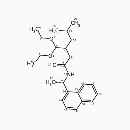 CCOC(OCC)C(CC(=O)N[C@@H](C)c1cccc2ccccc12)CC(C)C